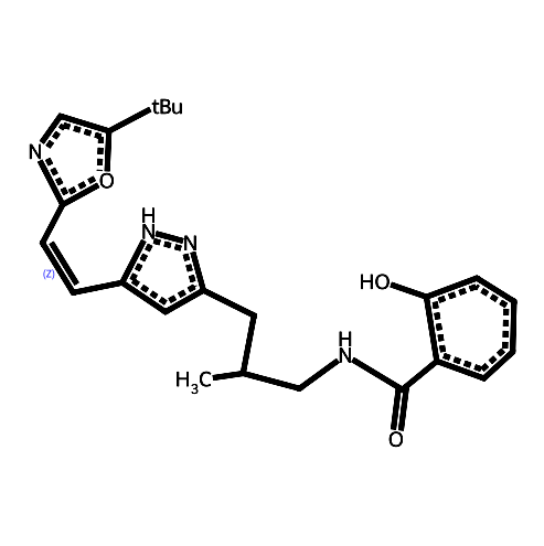 CC(CNC(=O)c1ccccc1O)Cc1cc(/C=C\c2ncc(C(C)(C)C)o2)[nH]n1